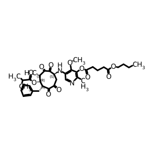 CCCCOC(=O)CCCC(=O)Oc1c(C)ncc(N[C@H]2CC(=O)C(=O)[C@H](Cc3ccccc3)[C@H](OC(=O)C(C)C)[C@H](C)C(=O)C2=O)c1OC